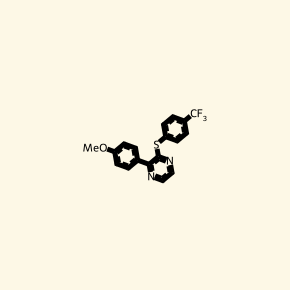 COc1ccc(-c2nccnc2Sc2ccc(C(F)(F)F)cc2)cc1